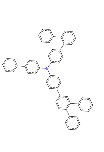 c1ccc(-c2ccc(N(c3ccc(-c4ccc(-c5ccccc5)c(-c5ccccc5)c4)cc3)c3ccc(-c4ccccc4-c4ccccc4)cc3)cc2)cc1